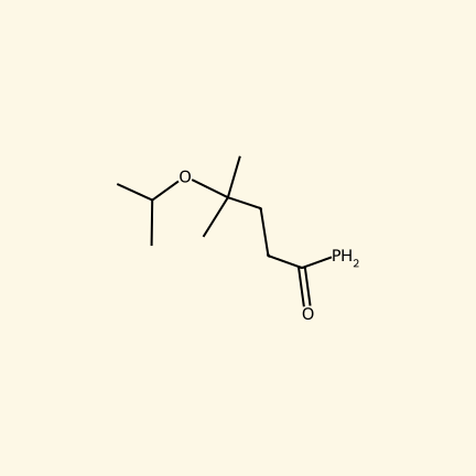 CC(C)OC(C)(C)CCC(=O)P